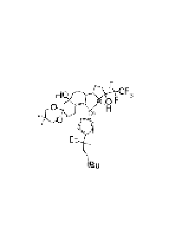 CCC(C)(CCC(C)(C)C)c1ccc([C@H]2C[C@@]3(C)C(CCC3(O)C(F)(F)C(F)(F)F)C3CCC4(O)CC5(CCC4=C32)OCC(C)(C)CO5)cc1